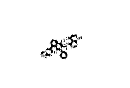 C[C@H](Nc1ncnc2[nH]ccc(=O)c12)c1c(Cl)c2cccc(-c3cnc4nncn4c3)c2c(=O)n1-c1ccccc1